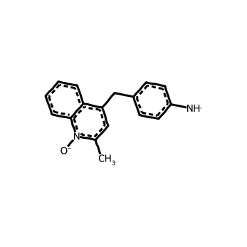 Cc1cc(Cc2ccc([NH])cc2)c2ccccc2[n+]1[O-]